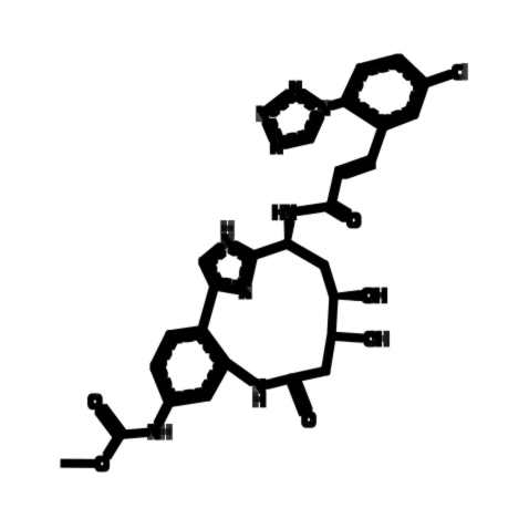 COC(=O)Nc1ccc2c(c1)NC(=O)CC(O)[C@H](O)C[C@H](NC(=O)/C=C/c1cc(Cl)ccc1-n1cnnn1)c1nc-2c[nH]1